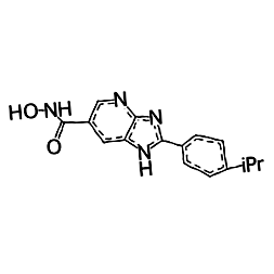 CC(C)c1ccc(-c2nc3ncc(C(=O)NO)cc3[nH]2)cc1